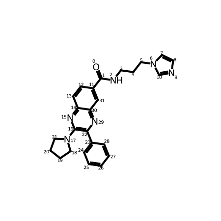 O=C(NCCCn1ccnc1)c1ccc2nc(N3CCCC3)c(-c3ccccc3)nc2c1